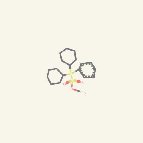 O=S(=O)(OC(F)(F)F)S(c1ccccc1)(C1CCCCC1)C1CCCCC1